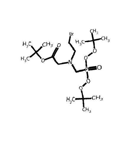 CC(C)(C)OOP(=O)(CN(CCBr)CC(=O)OC(C)(C)C)OOC(C)(C)C